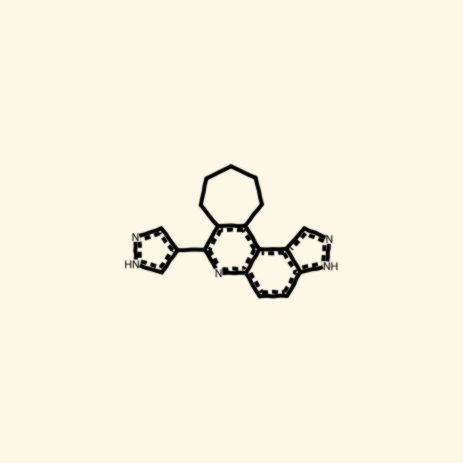 c1n[nH]cc1-c1nc2ccc3[nH]ncc3c2c2c1CCCCC2